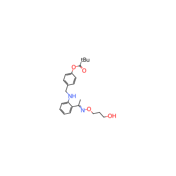 C/C(=N\OCCCO)c1ccccc1NCc1ccc(OC(=O)C(C)(C)C)cc1